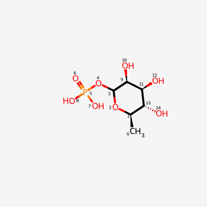 C[C@H]1OC(OP(=O)(O)O)[C@@H](O)[C@@H](O)[C@@H]1O